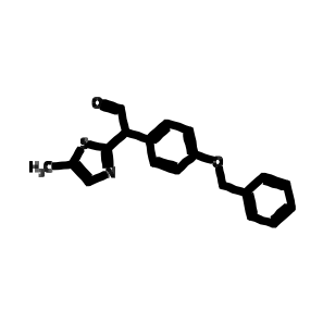 Cc1cnc(C(C=O)c2ccc(OCc3ccccc3)cc2)s1